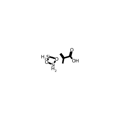 C=C(C)C(=O)O.O1[SiH2]O[SiH2]1